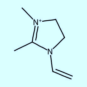 C=CN1CC[N+](C)=C1C